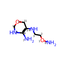 NOCCNC1=C(N)NCOC1